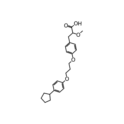 COC(Cc1ccc(OCCCOc2ccc(C3CCCC3)cc2)cc1)C(=O)O